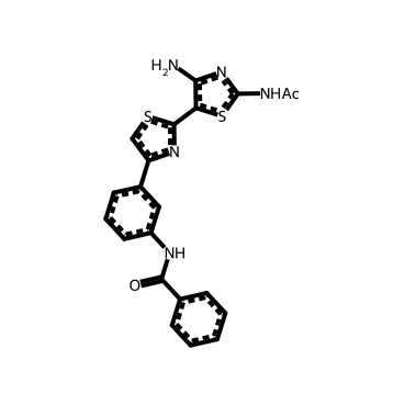 CC(=O)Nc1nc(N)c(-c2nc(-c3cccc(NC(=O)c4ccccc4)c3)cs2)s1